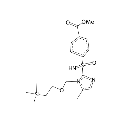 COC(=O)c1ccc(S(=N)(=O)c2ncc(C)n2COCC[Si](C)(C)C)cc1